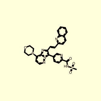 CS(=O)(=O)NC(=O)c1ccc(-c2c(C=Cc3ccc4ccccc4n3)nc3c(N4CCOCC4)ccnn23)cn1